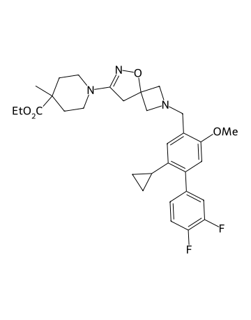 CCOC(=O)C1(C)CCN(C2=NOC3(C2)CN(Cc2cc(C4CC4)c(-c4ccc(F)c(F)c4)cc2OC)C3)CC1